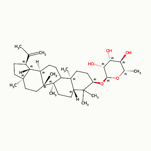 C=C(C)[C@@H]1CC[C@]2(C)CC[C@]3(C)[C@H](CCC4[C@@]5(C)CC[C@@H](O[C@@H]6O[C@@H](C)[C@H](O)[C@@H](O)[C@H]6O)C(C)(C)[C@@H]5CC[C@]43C)[C@@H]12